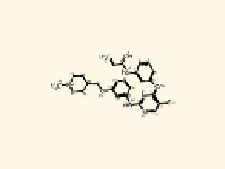 C=CC(O)Nc1cccc(Oc2nc(Nc3cccc(OCC4CCN(C)CC4)c3)ncc2F)c1